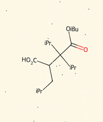 CC(C)COC(=O)C(C(C)C)(C(C)C)C(CC(C)C)C(=O)O